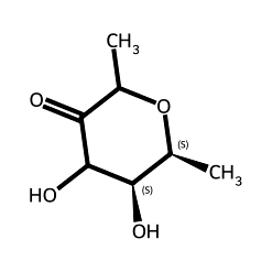 CC1O[C@@H](C)[C@@H](O)C(O)C1=O